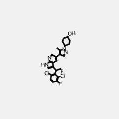 Cc1c(-c2cnc3[nH]cc(C(CF)c4c(Cl)ccc(F)c4Cl)c3c2)cnn1C1CCC(O)CC1